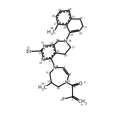 C=C(F)C(=O)N1C=CN(c2nc(CC)nc3c2CCN(C2=CCCc4cccc(C)c42)C3)CC(C)C1